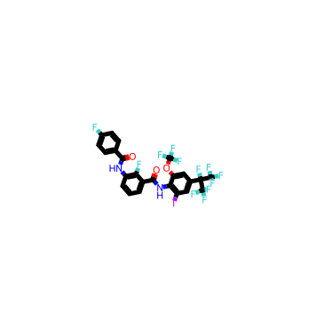 O=C(Nc1cccc(C(=O)Nc2c(I)cc(C(F)(C(F)(F)F)C(F)(F)F)cc2OC(F)(F)F)c1F)c1ccc(F)cc1